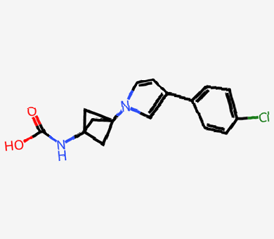 O=C(O)NC12CC(n3ccc(-c4ccc(Cl)cc4)c3)(C1)C2